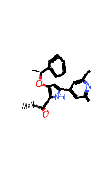 CNC(=O)c1[nH]c(-c2cc(C)nc(C)c2)cc1O[C@@H](C)c1ccccc1